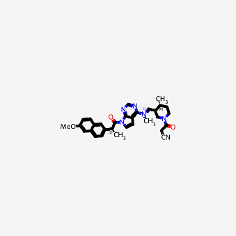 COc1ccc2cc([C@H](C)C(=O)n3ccc4c(/[N+](C)=C/C5CN(C(=O)CC#N)CC[C@H]5C)ncnc43)ccc2c1